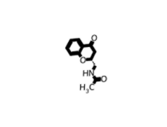 CC(=O)NC[C@H]1CC(=O)c2ccccc2O1